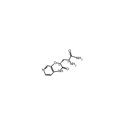 NC(=O)[C@@H](N)C[C@@H]1Oc2cnccc2NC1=O